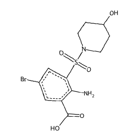 Nc1c(C(=O)O)cc(Br)cc1S(=O)(=O)N1CCC(O)CC1